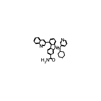 NC(=O)c1ccc2c3c(-c4cnc5ccccc5c4)cccc3n(N(c3cccnc3)C3CC[CH]CC3)c2c1